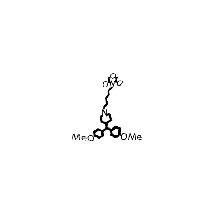 COc1ccc(C(c2ccc(OC)cc2)C2CCN(CCCCCCN3C(=O)COCC3=O)CC2)cc1